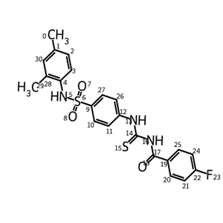 Cc1ccc(NS(=O)(=O)c2ccc(NC(=S)NC(=O)c3ccc(F)cc3)cc2)c(C)c1